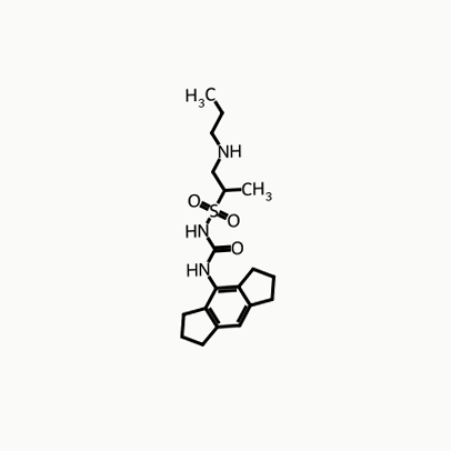 CCCNCC(C)S(=O)(=O)NC(=O)Nc1c2c(cc3c1CCC3)CCC2